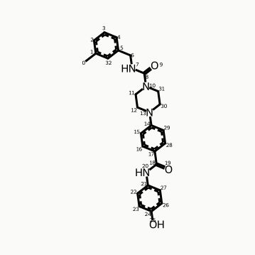 Cc1cccc(CNC(=O)N2CCN(c3ccc(C(=O)Nc4ccc(O)cc4)cc3)CC2)c1